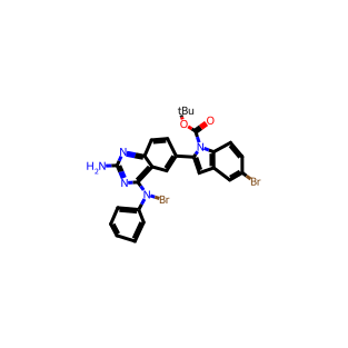 CC(C)(C)OC(=O)n1c(-c2ccc3nc(N)nc(N(Br)c4ccccc4)c3c2)cc2cc(Br)ccc21